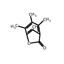 Cc1c(C)c2c(C)c(c1C)C(=O)O2